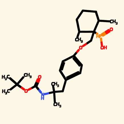 CC1CCCC(C)C1(COc1ccc(CC(C)(C)NC(=O)OC(C)(C)C)cc1)[PH](=O)O